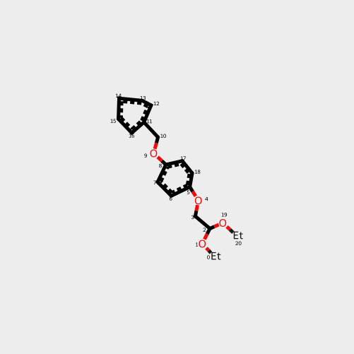 CCOC(COc1ccc(OCc2ccccc2)cc1)OCC